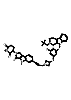 C[C@@H]1Cc2c([nH]c3ccccc23)[C@@H](c2c(F)cc(OC3CN(CC#Cc4ccc5c6c([nH]c5c4)C(=O)N(C4CCC(=O)NC4=O)C6)C3)cc2F)N1CC(C)(C)F